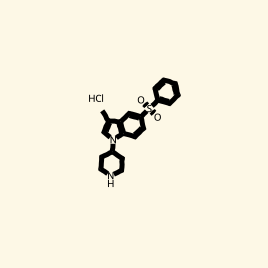 Cc1cn(C2CCNCC2)c2ccc(S(=O)(=O)c3ccccc3)cc12.Cl